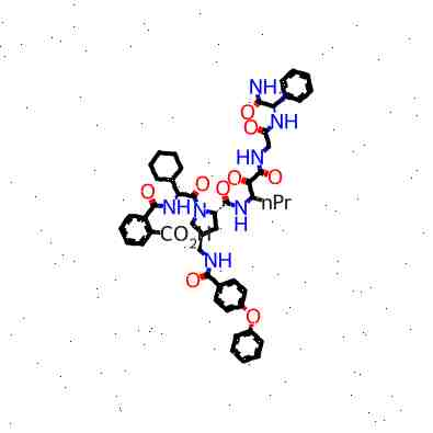 CCCC(NC(=O)[C@@H]1C[C@@H](CNC(=O)c2ccc(Oc3ccccc3)cc2)CN1C(=O)[C@@H](NC(=O)c1ccccc1C(=O)O)C1CCCCC1)C(=O)C(=O)NCC(=O)N[C@H](C(N)=O)c1ccccc1